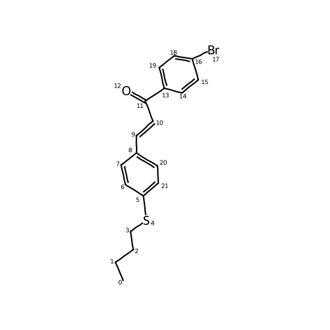 CCCCSc1ccc(C=CC(=O)c2ccc(Br)cc2)cc1